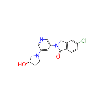 O=C1c2ccc(Cl)cc2CN1c1cncc(N2CC[C@@H](O)C2)c1